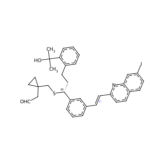 CC(C)(O)c1ccccc1CC[C@@H](SCC1(CC=O)CC1)c1cccc(/C=C/c2ccc3ccc(I)cc3n2)c1